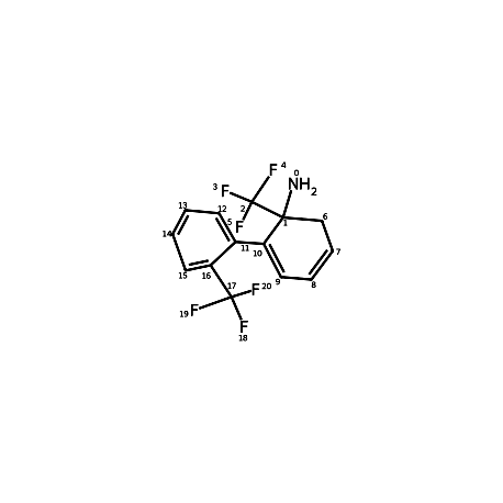 NC1(C(F)(F)F)CC=CC=C1c1ccccc1C(F)(F)F